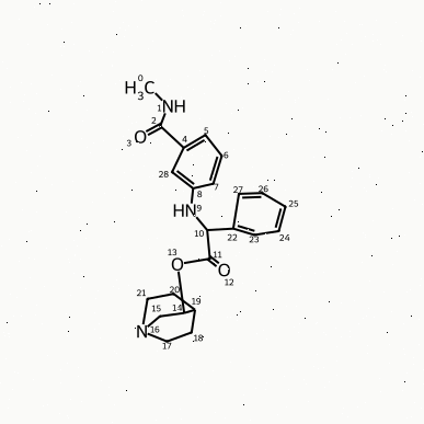 CNC(=O)c1cccc(NC(C(=O)OC2CN3CCC2CC3)c2ccccc2)c1